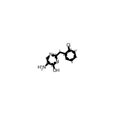 Nc1cnc(Cc2ccccc2Cl)nc1O